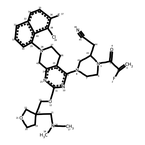 C=C(F)C(=O)N1CCN(c2nc(OCC3(CN(C)C)CCOC3)nc3c2CCN(c2cccc4ccc(F)c(Cl)c24)C3)CC1CC#N